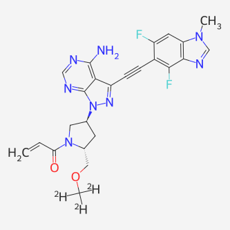 [2H]C([2H])([2H])OC[C@H]1C[C@H](n2nc(C#Cc3c(F)cc4c(ncn4C)c3F)c3c(N)ncnc32)CN1C(=O)C=C